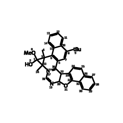 COC1(O)C2(C)c3c(cc(C(C)(C)C)c4ccccc34)C3=[N+](C=NC4Oc5c(ccc6ccccc56)C34)C12C